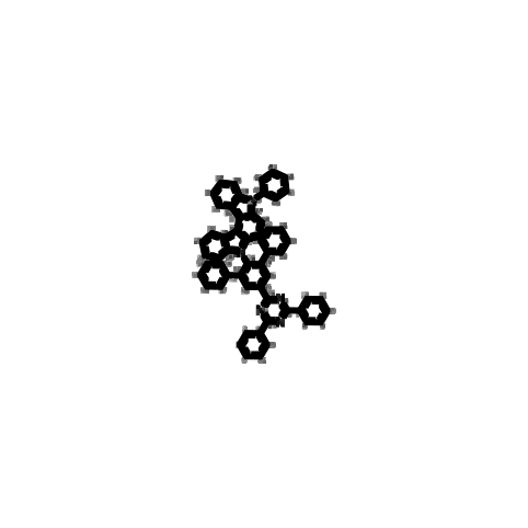 c1ccc(-c2nc(-c3ccccc3)nc(-c3cc(-c4ccccc4)c(-n4c5ccccc5c5c6c7ccccc7n(-c7ccccc7)c6ccc54)c(-c4ccccc4)c3)n2)cc1